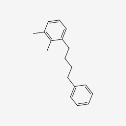 Cc1cccc(CCCCc2ccccc2)c1C